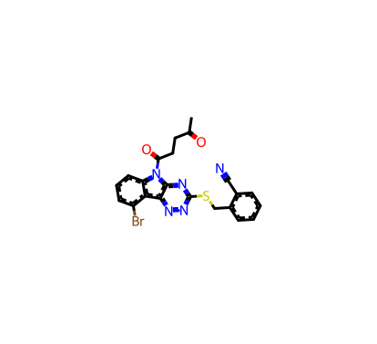 CC(=O)CCC(=O)n1c2cccc(Br)c2c2nnc(SCc3ccccc3C#N)nc21